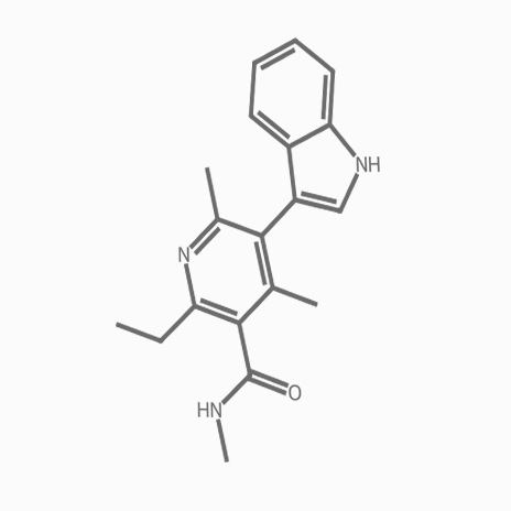 CCc1nc(C)c(-c2c[nH]c3ccccc23)c(C)c1C(=O)NC